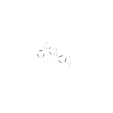 CCN(CC)c1ccc(NC=C2C(=O)Nc3cccc(C)c32)cc1F